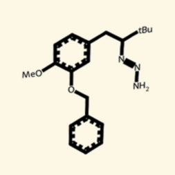 COc1ccc(CC(N=NN)C(C)(C)C)cc1OCc1ccccc1